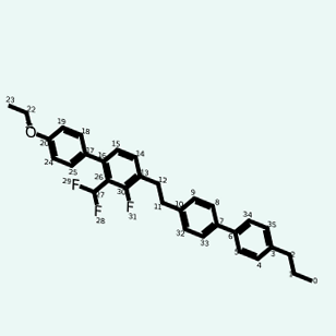 CCCc1ccc(-c2ccc(CCc3ccc(-c4ccc(OCC)cc4)c(C(F)F)c3F)cc2)cc1